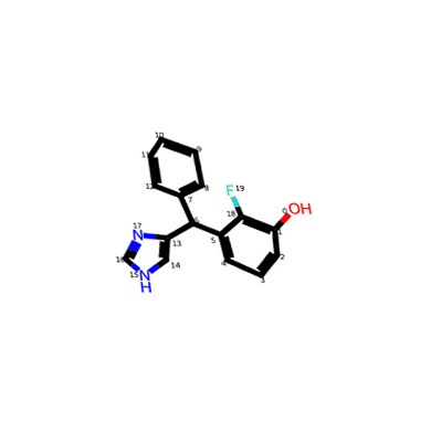 Oc1cccc(C(c2ccccc2)c2c[nH]cn2)c1F